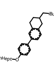 CCCCCCCOc1ccc(-c2ccc3c(c2)CCC(CC(C)CC)C3)cc1